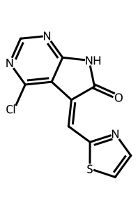 O=C1Nc2ncnc(Cl)c2C1=Cc1nccs1